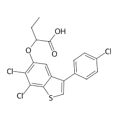 CCC(Oc1cc2c(-c3ccc(Cl)cc3)csc2c(Cl)c1Cl)C(=O)O